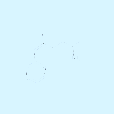 CC(=Cc1cccnc1)CCC(C)N